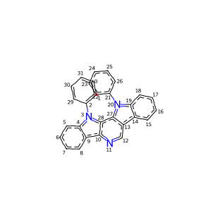 C1=C=C(n2c3ccccc3c3ncc4c5ccccc5n(-c5ccccc5)c4c32)C=CC=1